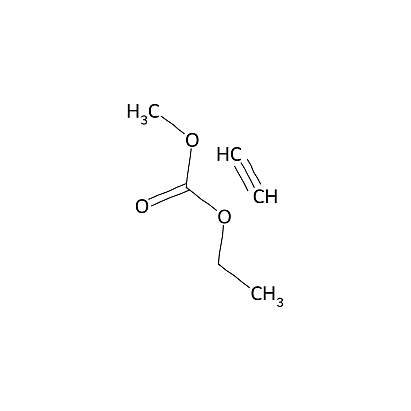 C#C.CCOC(=O)OC